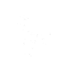 CN(C)[S+]([O-])N1CCN(C(=O)c2cnc3cc(F)c(F)cc3c2N2CCC3(CC2)OCCO3)CC1